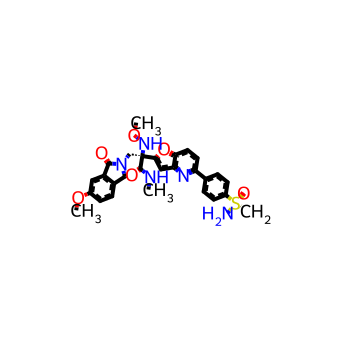 C=S(N)(=O)c1ccc(-c2ccc3oc([C@](CN4Cc5ccc(OC)cc5C4=O)(NOC)C(=O)NC)cc3n2)cc1